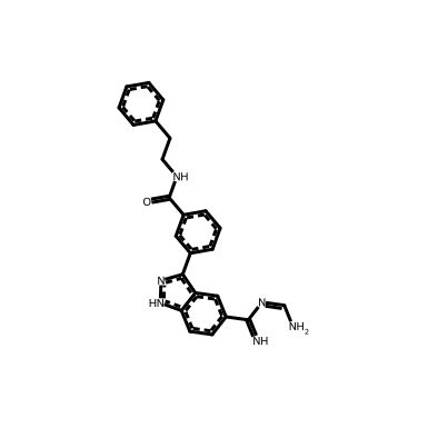 N=C(/N=C\N)c1ccc2[nH]nc(-c3cccc(C(=O)NCCc4ccccc4)c3)c2c1